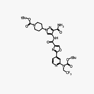 CC(C)(C)OC(=O)N1CCC(n2cc(NC(=O)c3coc(-c4ccnc(N(CC(F)(F)F)C(=O)OC(C)(C)C)c4)n3)c(C(N)=O)n2)CC1